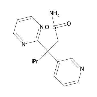 CC(C)C(CS(N)(=O)=O)(c1cccnc1)c1ncccn1